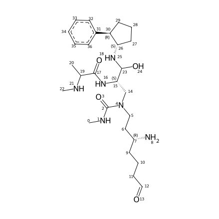 CNC(=O)N(CC[C@H](N)CCCC=O)C[C@H](NC(=O)C(C)NC)C(O)N[C@H]1CCC[C@@H]1c1ccccc1